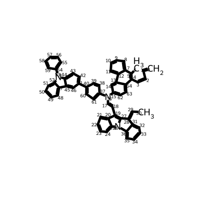 C=C/C=C\c1c(C)c2ccccc2c2cc(N(/C=C/c3c4ccccc4n4c3c(=CC)c3ccccc34)c3ccc(-c4ccc5c(c4)c4ccccc4n5-c4ccccc4)cc3)ccc12